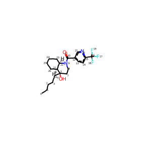 CCCCC[C@@]1(O)CCN(C(=O)c2ccc(C(F)(F)F)nc2)[C@@H]2CCCC[C@@H]21